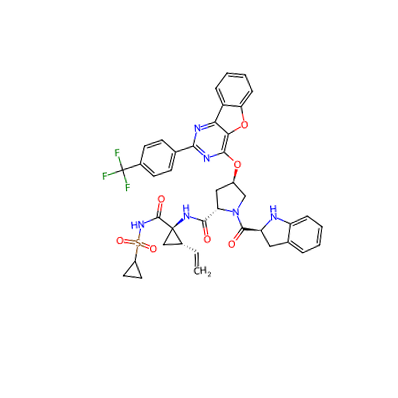 C=C[C@@H]1C[C@]1(NC(=O)[C@@H]1C[C@@H](Oc2nc(-c3ccc(C(F)(F)F)cc3)nc3c2oc2ccccc23)CN1C(=O)[C@@H]1Cc2ccccc2N1)C(=O)NS(=O)(=O)C1CC1